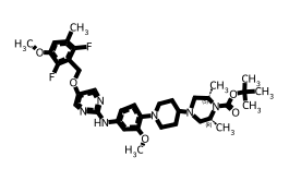 COc1cc(Nc2ncc(OCc3c(F)c(C)cc(OC)c3F)cn2)ccc1N1CCC(N2C[C@@H](C)N(C(=O)OC(C)(C)C)[C@@H](C)C2)CC1